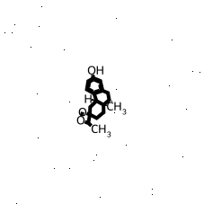 CC1OOC12CC[C@]1(C)CCc3cc(O)ccc3[C@H]1C2